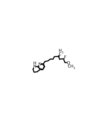 C=C(CCCCCc1ccc2c(n1)NCCC2)C[C@H](F)COC